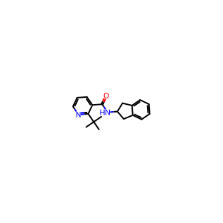 CC(C)(C)c1ncccc1C(=O)NC1Cc2ccccc2C1